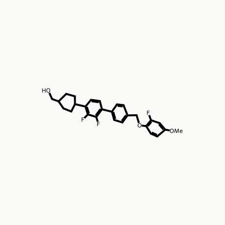 COc1ccc(OCc2ccc(-c3ccc(C4CCC(CO)CC4)c(F)c3F)cc2)c(F)c1